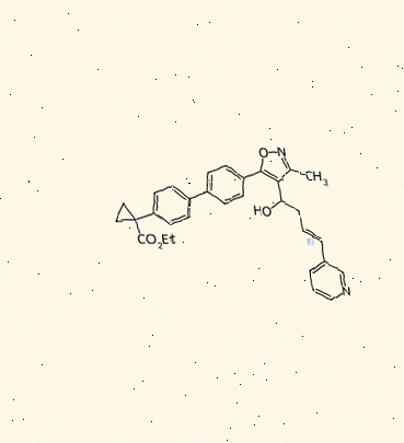 CCOC(=O)C1(c2ccc(-c3ccc(-c4onc(C)c4C(O)C/C=C/c4cccnc4)cc3)cc2)CC1